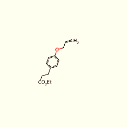 C=CCOc1ccc(CCC(=O)OCC)cc1